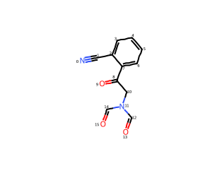 N#Cc1ccccc1C(=O)CN(C=O)C=O